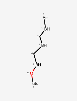 CC(=O)BCBCBOC(C)(C)C